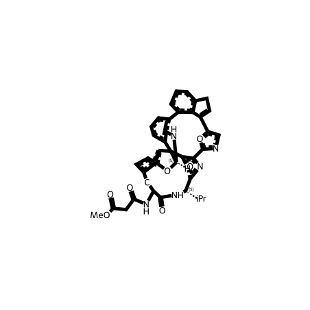 COC(=O)CC(=O)NC1Cc2ccc3c(c2)C24c5cccc(c5N[C@H]2O3)-c2cccc3c2C(=CC3)c2cnc(o2)-c2nc(oc24)[C@H](C(C)C)NC1=O